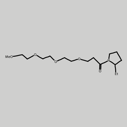 CCC1CCCN1C(=O)CCOCCOCCOCCOC